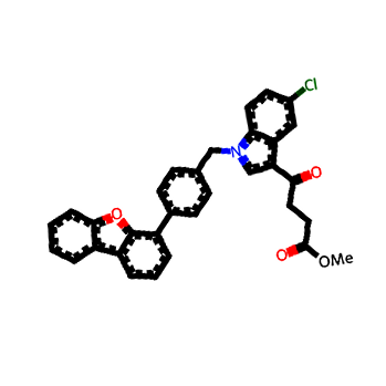 COC(=O)CCC(=O)c1cn(Cc2ccc(-c3cccc4c3oc3ccccc34)cc2)c2ccc(Cl)cc12